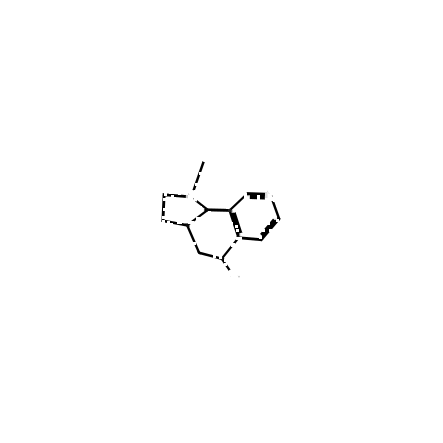 CN1CCC2CC(O)c3ccncc3C21